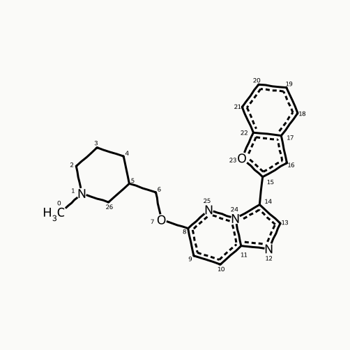 CN1CCCC(COc2ccc3ncc(-c4cc5ccccc5o4)n3n2)C1